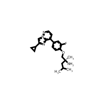 CC(C)C[C@](C)(N)COc1ccc(-c2ccnn3cc(C4CC4)nc23)cc1F